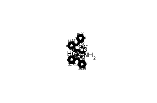 NC(=O)C(C(C(=O)O)[S+]([O-])C(c1ccccc1)c1ccccc1)S(=O)(=O)C(c1ccccc1)c1ccccc1